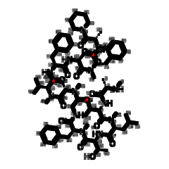 CN[C@@H](C)C(=O)N[C@H](C(=O)N(C)[C@@H](CC(C)C)C(=O)N[C@H](C(=O)N(C)[C@@H](Cc1ccccc1)C(=O)NCC(=O)N(C)[C@@H](CC(C)C)C(=O)N(C)[C@H](C(=O)N[C@@H](Cc1ccccc1)C(=O)N[C@@H](CC(=O)O)C(=O)N(C)[C@@H](Cc1ccccc1)C(=O)N[C@@H](C)C(=O)N1CCCCC1)C(C)C)[C@@H](C)O)C(C)C